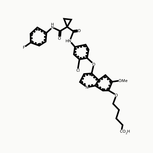 COc1cc2c(Oc3ccc(NC(=O)C4(C(=O)Nc5ccc(F)cc5)CC4)cc3Cl)ccnc2cc1OCCCCC(=O)O